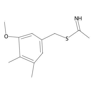 COc1cc(CSC(C)=N)cc(C)c1C